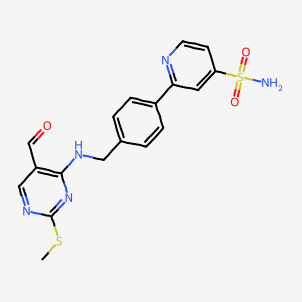 CSc1ncc(C=O)c(NCc2ccc(-c3cc(S(N)(=O)=O)ccn3)cc2)n1